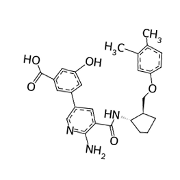 Cc1ccc(OC[C@H]2CCC[C@@H]2NC(=O)c2cc(-c3cc(O)cc(C(=O)O)c3)cnc2N)cc1C